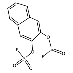 O=S(F)Oc1cc2ccccc2cc1OS(=O)(=O)F